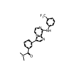 CN(C)C(=O)c1cccc(-c2cnc3c(Nc4cccc(C(F)(F)F)c4)nccn23)c1